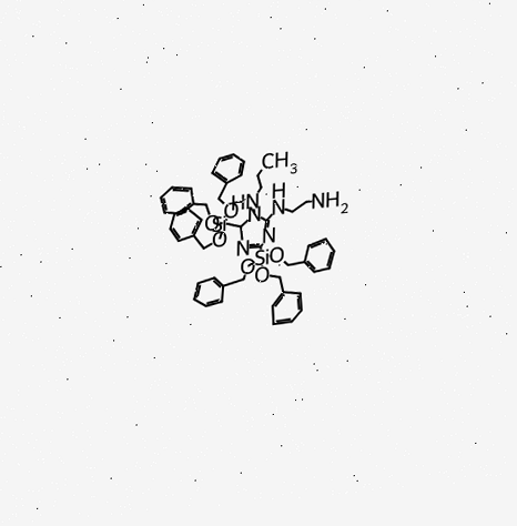 CCCNN1C(NCCN)=NC([Si](OCc2ccccc2)(OCc2ccccc2)OCc2ccccc2)=NC1[Si](OCc1ccccc1)(OCc1ccccc1)OCc1ccccc1